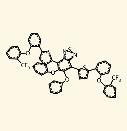 FC(F)(F)c1ccccc1Oc1ccccc1-c1ccc(-c2c(Oc3ccccc3)c(Oc3ccccc3)c(-c3ccc(-c4ccccc4Oc4ccccc4C(F)(F)F)s3)c3nsnc23)s1